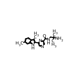 Cc1ccc2c(C)c(-c3cncc(C(=O)NCC(C)(C)N)n3)[nH]c2c1